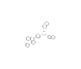 c1ccc(-c2cccc3c(-c4ccc(-c5cc(-c6ccc7ccccc7c6)nc(-c6ccc7ccccc7c6)n5)cc4)nc4ccccc4c23)cc1